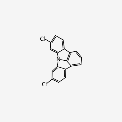 Clc1ccc2c3cccc4c5ccc(Cl)cc5n(c2c1)c34